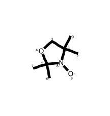 CC1(C)COC(C)(C)N1[O]